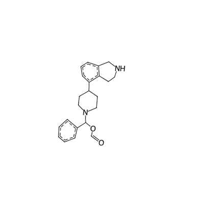 O=COC(c1ccccc1)N1CCC(c2cccc3c2CCNC3)CC1